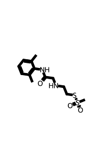 Cc1cccc(C)c1NC(=O)CNCCSS(C)(=O)=O